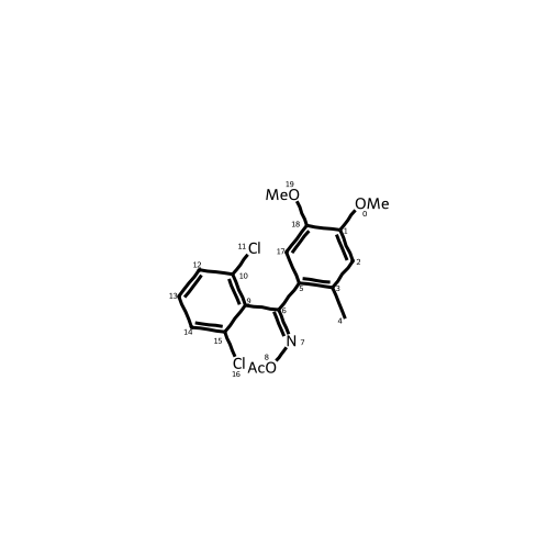 COc1cc(C)c(C(=NOC(C)=O)c2c(Cl)cccc2Cl)cc1OC